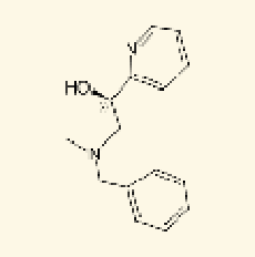 CN(Cc1ccccc1)C[C@@H](O)c1ccccn1